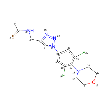 CC(=S)NCc1cn(-c2cc(F)c(N3CCOCC3)c(F)c2)nn1